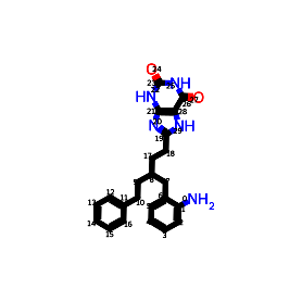 Nc1ccccc1CC(CCc1ccccc1)CCc1nc2[nH]c(=O)[nH]c(=O)c2[nH]1